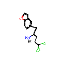 CCNC(CCC(Cl)Cl)Cc1ccc2occc2c1